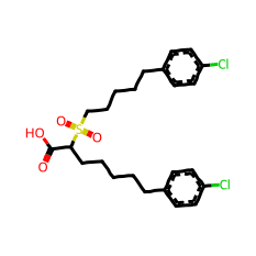 O=C(O)C(CCCCCc1ccc(Cl)cc1)S(=O)(=O)CCCCCc1ccc(Cl)cc1